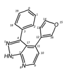 c1ccc(-c2n[nH]c3nccc(-c4ccoc4)c23)cc1